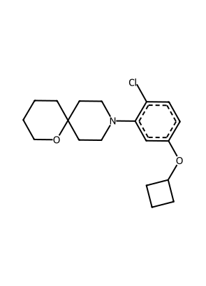 Clc1ccc(OC2CCC2)cc1N1CCC2(CCCCO2)CC1